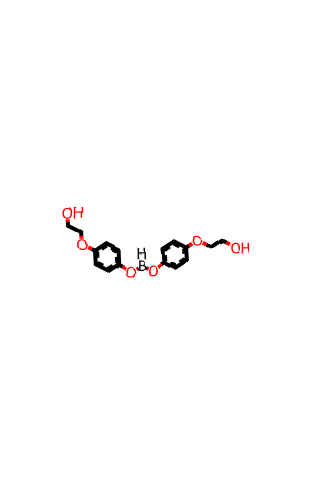 OCCOc1ccc(OBOc2ccc(OCCO)cc2)cc1